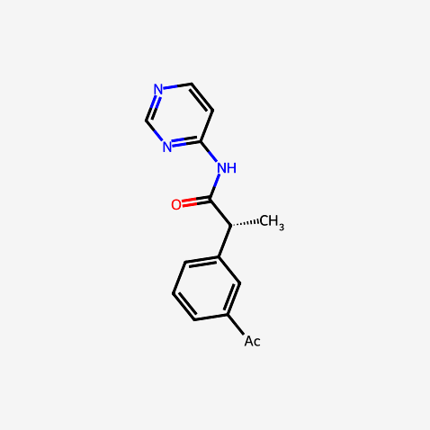 CC(=O)c1cccc([C@@H](C)C(=O)Nc2ccncn2)c1